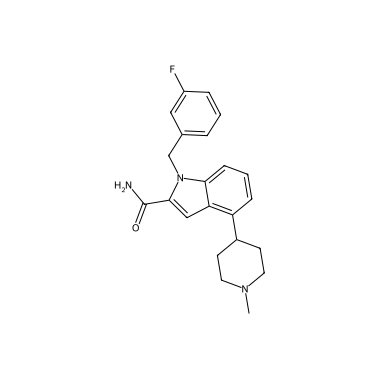 CN1CCC(c2cccc3c2cc(C(N)=O)n3Cc2cccc(F)c2)CC1